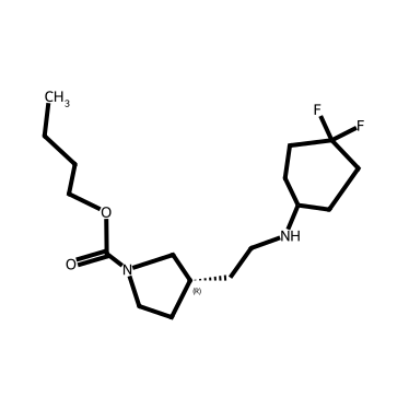 CCCCOC(=O)N1CC[C@@H](CCNC2CCC(F)(F)CC2)C1